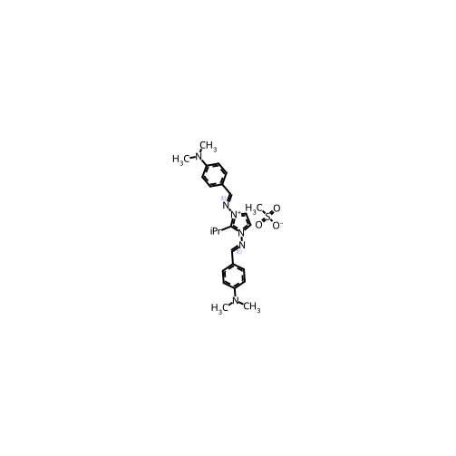 CC(C)c1n(/N=C/c2ccc(N(C)C)cc2)cc[n+]1/N=C/c1ccc(N(C)C)cc1.CS(=O)(=O)[O-]